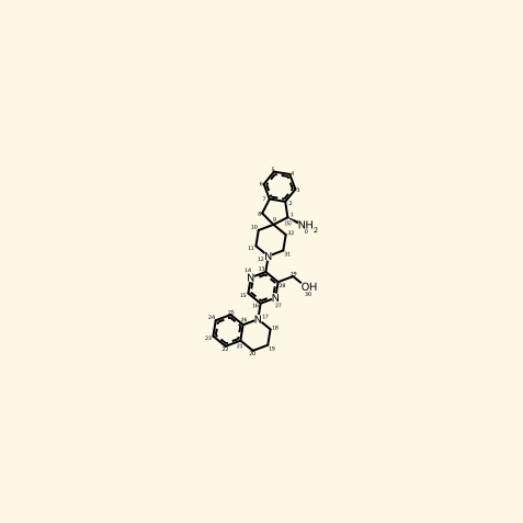 N[C@@H]1c2ccccc2CC12CCN(c1ncc(N3CCCc4ccccc43)nc1CO)CC2